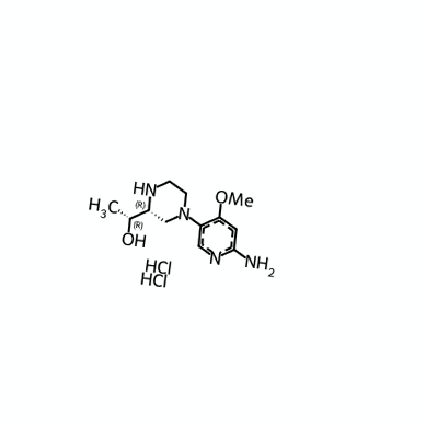 COc1cc(N)ncc1N1CCN[C@@H]([C@@H](C)O)C1.Cl.Cl